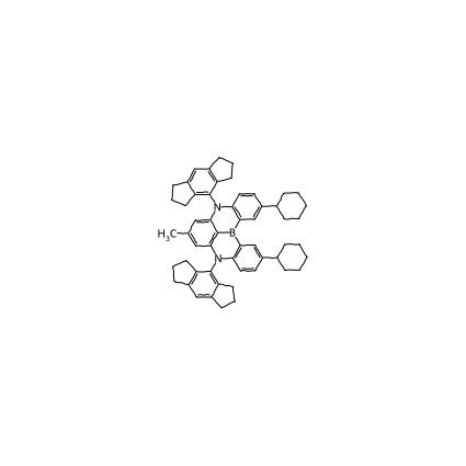 Cc1cc2c3c(c1)N(c1c4c(cc5c1CCC5)CCC4)c1ccc(C4CCCCC4)cc1B3c1cc(C3CCCCC3)ccc1N2c1c2c(cc3c1CCC3)CCC2